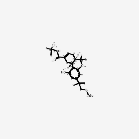 CCCCOCC(C)(C)c1cc(O)c2c(c1)OC(C)(C)[C@@H]1CC=C(C(=O)NC(C)(C)C(F)(F)F)C[C@@H]21